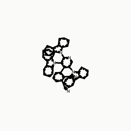 N#Cc1cccc(-c2c(-n3c4ccccc4c4ccccc43)cnc(-n3c4ccccc4c4ccccc43)c2-n2c3ccccc3c3ccccc32)c1C#N